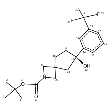 CC(C)(C)OC(=O)N1CC2(CC[C@](O)(c3cccc(C(C)(F)F)c3)C2)C1